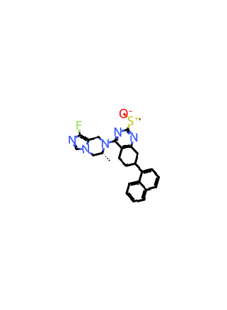 C[C@@H]1Cn2cnc(F)c2CN1c1nc([S+](C)[O-])nc2c1CCC(c1cccc3ccccc13)C2